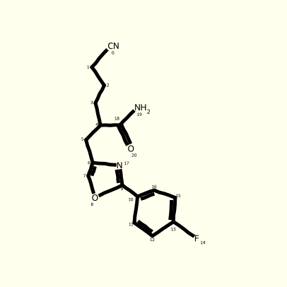 N#CCCCC(Cc1coc(-c2ccc(F)cc2)n1)C(N)=O